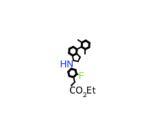 CCOC(=O)CCc1ccc(NC2CCc3c(-c4c(C)cccc4C)cccc32)cc1F